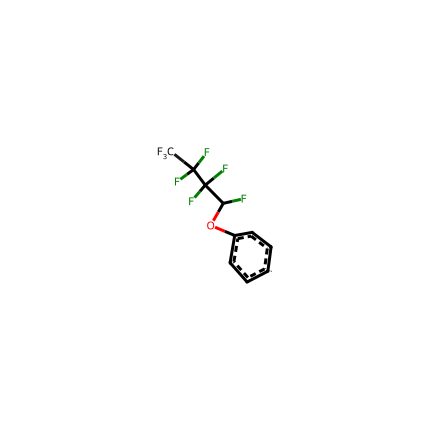 FC(Oc1cc[c]cc1)C(F)(F)C(F)(F)C(F)(F)F